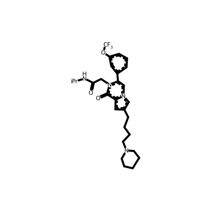 CC(C)NC(=O)Cn1c(-c2cccc(OC(F)(F)F)c2)cn2cc(CCCCN3CCCCC3)cc2c1=O